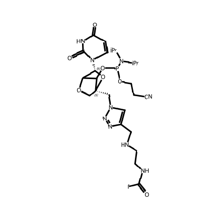 CC(C)N(C(C)C)P(OCCC#N)OC1C2OC[C@]1(Cn1cc(CNCCNC(=O)I)nn1)O[C@H]2n1ccc(=O)[nH]c1=O